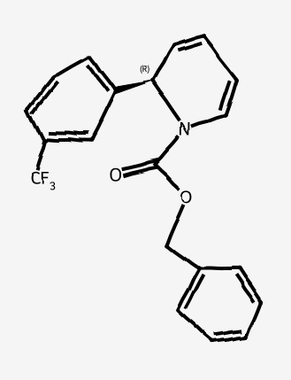 O=C(OCc1ccccc1)N1C=CC=C[C@@H]1c1cccc(C(F)(F)F)c1